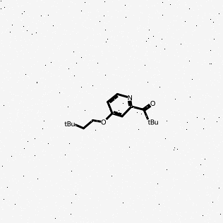 CC(C)(C)CCOc1ccnc(C(=O)C(C)(C)C)c1